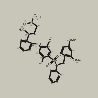 COc1ccc(CN(c2ccccn2)S(=O)(=O)c2cc(Cl)c(Nc3ccccc3N(C)CCN(C)C(=O)O)cc2F)c(OC)c1